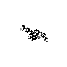 C=CC(O)N1CCC(n2nc(N3CC[C@@H](CN4CCN(C5COC5)CC4)CC3(C)C)c(-c3c(Cl)c(C)cc4[nH]ncc34)c2C)CC1